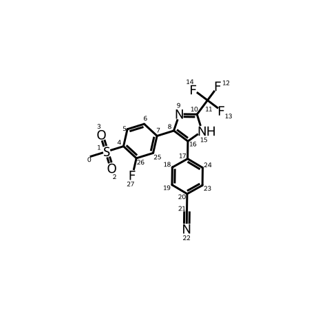 CS(=O)(=O)c1ccc(-c2nc(C(F)(F)F)[nH]c2-c2ccc(C#N)cc2)cc1F